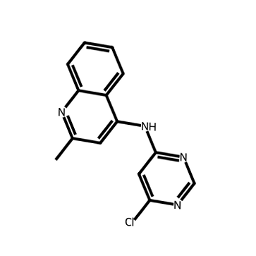 Cc1cc(Nc2cc(Cl)ncn2)c2ccccc2n1